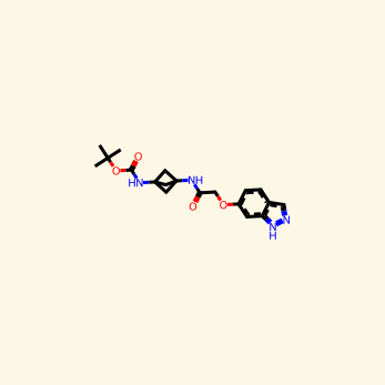 CC(C)(C)OC(=O)NC12CC(NC(=O)COc3ccc4cn[nH]c4c3)(C1)C2